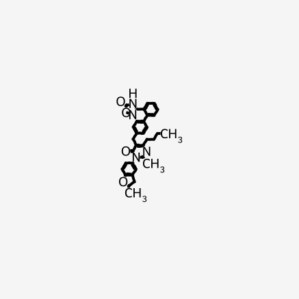 CCCCc1nc(C)n(-c2ccc3c(c2)CC(C)O3)c(=O)c1Cc1ccc(-c2ccccc2-c2noc(=O)[nH]2)cc1